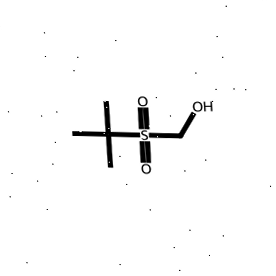 CC(C)(C)S(=O)(=O)CO